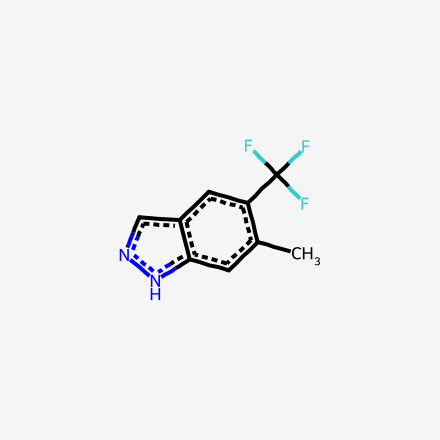 Cc1cc2[nH]ncc2cc1C(F)(F)F